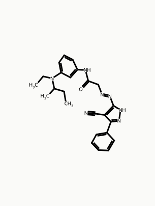 CCC(C)N(CC)c1cccc(NC(=O)CN=Nc2[nH]nc(-c3ccccc3)c2C#N)c1